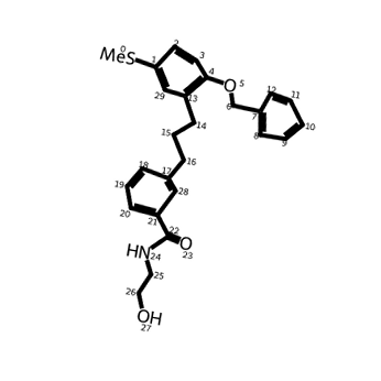 CSc1ccc(OCc2ccccc2)c(CCCc2cccc(C(=O)NCCO)c2)c1